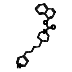 O=C(Oc1cccc2ccccc12)N1CCC(CCCCc2ccncc2)CC1